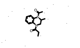 CCC(=O)N1CC(C)N(C(C)=O)c2ccccc21